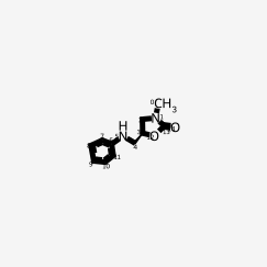 CN1C[C@H](CNc2ccccc2)OC1=O